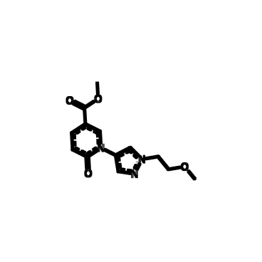 COCCn1cc(-n2cc(C(=O)OC)ccc2=O)cn1